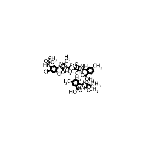 Cc1ccc(C(=O)O)c(C2=NC(C)(C(C)C)C(=O)N2)c1.Cc1ccc(C2=NC(C)(C(C)C)C(=O)N2)c(C(=O)O)c1.Cc1nn(-c2cc(NS(C)(=O)=O)c(Cl)cc2Cl)c(=O)n1C(F)F